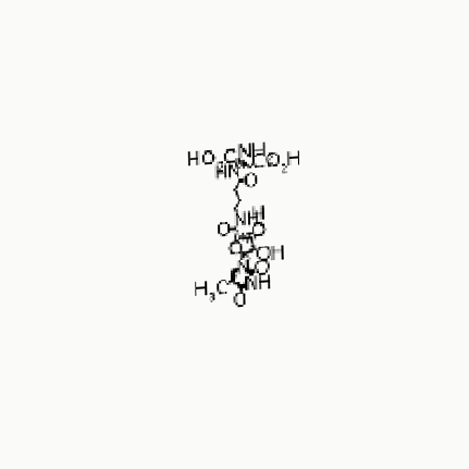 Cc1cn([C@@H]2O[C@H](C(=O)NCCCC(=O)N[C@@](N)(CC(=O)O)C(=O)O)[C@H](O)[C@@H]2O)c(=O)[nH]c1=O